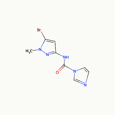 Cn1nc(NC(=O)n2ccnc2)cc1Br